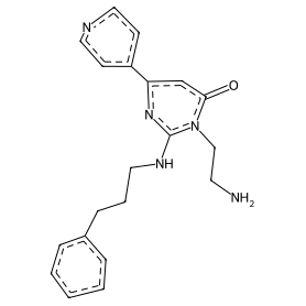 NCCn1c(NCCCc2ccccc2)nc(-c2ccncc2)cc1=O